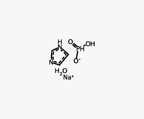 O.O=[PH]([O-])O.[Na+].c1c[nH]cn1